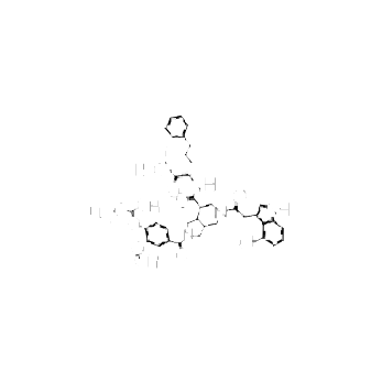 CNC(=O)[C@H](CCCc1ccccc1)NC(=O)C1CN(C(=O)Cc2c[nH]c3cccc(Cl)c23)CC2CN(C(=O)c3ccc(OC(C)C)c(OC)c3)CC21